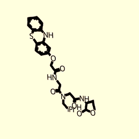 CC(C)CN(CC(=O)N[C@H]1CCOC1O)C(=O)CNC(=O)COc1ccc2c(c1)Nc1ccccc1S2